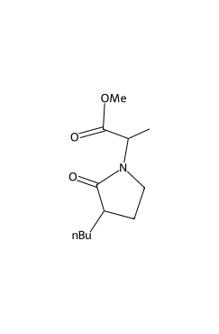 CCCCC1CCN(C(C)C(=O)OC)C1=O